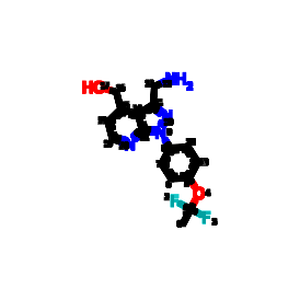 CC(F)(F)Oc1ccc(-n2nc(CN)c3c(CO)ccnc32)cc1